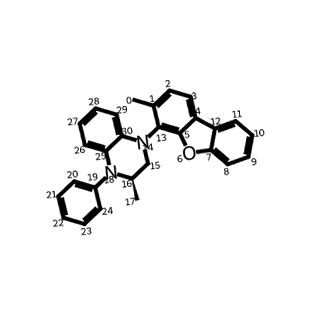 Cc1ccc2c(oc3ccccc32)c1N1C[C@@H](C)N(c2ccccc2)c2ccccc21